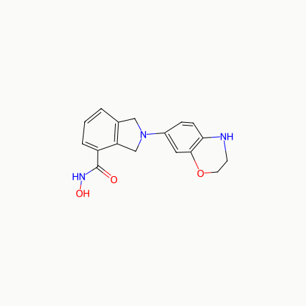 O=C(NO)c1cccc2c1CN(c1ccc3c(c1)OCCN3)C2